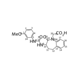 COc1cccc(NC(=O)NC2CCc3ccccc3N(CC(=O)O)C2=O)c1